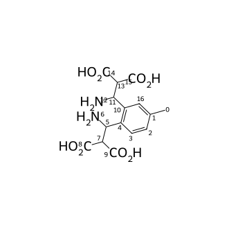 Cc1ccc(C(N)C(C(=O)O)C(=O)O)c(C(N)C(C(=O)O)C(=O)O)c1